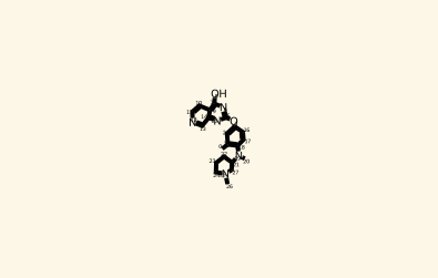 Cc1cc(Oc2nc(O)c3ccncc3n2)ccc1N(C)C1CCCN(C)C1